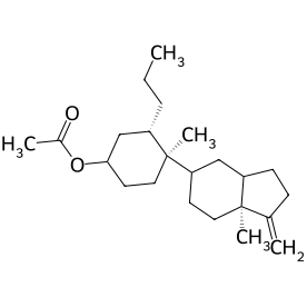 C=C1CCC2CC([C@@]3(C)CCC(OC(C)=O)C[C@@H]3CCC)CC[C@]12C